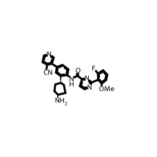 COc1cccc(F)c1-c1nccc(C(=O)Nc2ccc(-c3cnccc3C#N)cc2[C@H]2CC[C@@H](N)CC2)n1